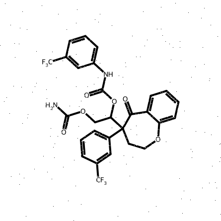 NC(=O)OCC(OC(=O)Nc1cccc(C(F)(F)F)c1)C1(c2cccc(C(F)(F)F)c2)CCOc2ccccc2C1=O